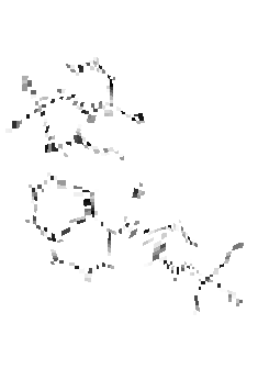 O=C(Nc1ccc2c(c1)C([S+]([O-])c1ccc(C(F)(F)F)cc1)CCC2)c1c(Cl)cccc1C(F)(F)F